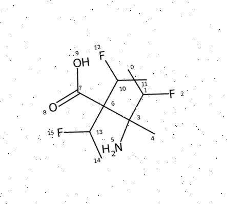 CC(F)C(C)(N)C(C(=O)O)(C(C)F)C(C)F